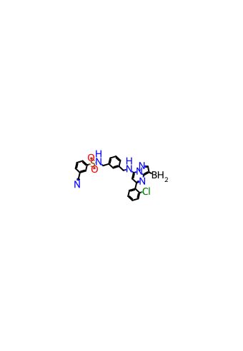 Bc1cnn2c(NCc3cccc(CNS(=O)(=O)c4cccc(C#N)c4)c3)cc(-c3ccccc3Cl)nc12